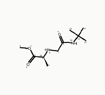 COC(=O)[C@H](C)NCC(=O)NC(C)(C)C